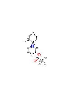 CC1CCCCC1N1CC=CC(OC(=O)C(C)(C)C)C1